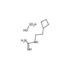 N=C(N)NCCC1CCC1.O=S(=O)(O)O